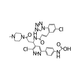 CN1CCN(C(=O)CC(NC(=O)C=Cc2cc(Cl)ccc2-n2cnnn2)c2cc(-c3ccc(NC(=O)O)cc3)nnc2Cl)CC1